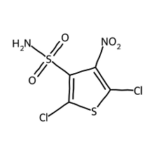 NS(=O)(=O)c1c(Cl)sc(Cl)c1[N+](=O)[O-]